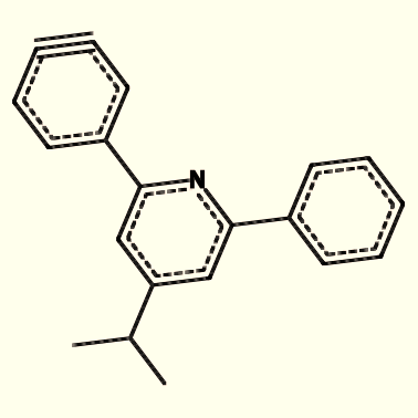 CC(C)c1cc(-c2cc#ccc2)nc(-c2ccccc2)c1